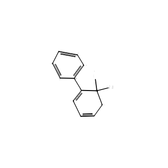 [2H]C1(N)CC=CC=C1c1ccccc1